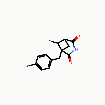 CCC1C2CC1(Cc1ccc(C(C)C)cc1)C(=O)NC2=O